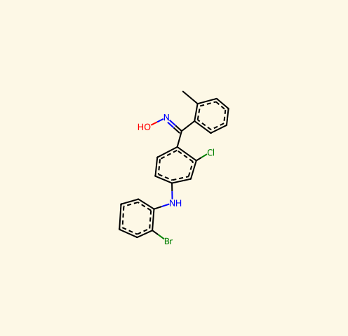 Cc1ccccc1C(=NO)c1ccc(Nc2ccccc2Br)cc1Cl